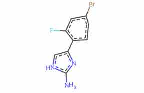 Nc1nc(-c2ccc(Br)cc2F)c[nH]1